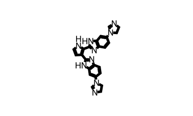 C1=NCCN1c1ccc2nc(-c3cc[nH]c3-c3nc4ccc(N5C=NCC5)cc4[nH]3)[nH]c2c1